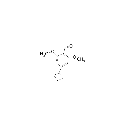 COc1cc(C2CCC2)cc(OC)c1C=O